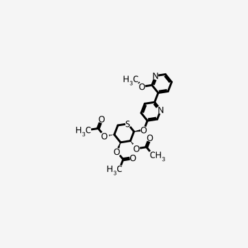 COc1ncccc1-c1ccc(O[C@@H]2SC[C@@H](OC(C)=O)[C@H](OC(C)=O)[C@H]2OC(C)=O)cn1